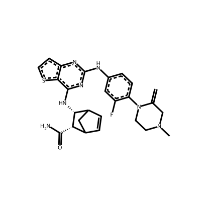 C=C1CN(C)CCN1c1ccc(Nc2nc(N[C@@H]3C4C=CC(C4)[C@@H]3C(N)=O)c3sccc3n2)cc1F